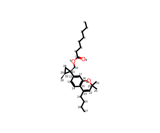 CCCCCCCC(=O)OC[C@]1(c2ccc3c(c2)OC(C)(C)C=C3CCCC)C[C@@H]1C